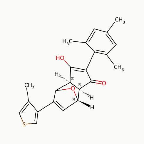 Cc1cc(C)c(C2=C(O)[C@@H]3C4O[C@@H](C=C4c4cscc4C)[C@@H]3C2=O)c(C)c1